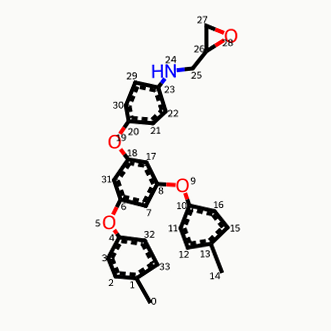 Cc1ccc(Oc2cc(Oc3ccc(C)cc3)cc(Oc3ccc(NCC4CO4)cc3)c2)cc1